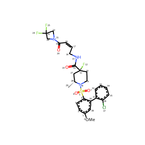 COc1ccc(S(=O)(=O)N2CC[C@@](F)(C(=O)NC/C=C\C(=O)N3CC(F)(F)C3)C[C@H]2C)c(-c2ccccc2Cl)c1